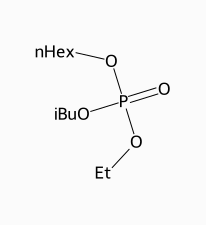 CCCCCCOP(=O)(OCC)OCC(C)C